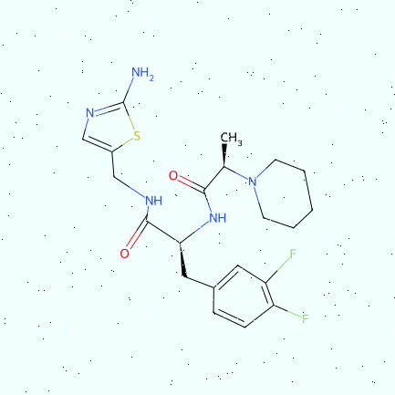 C[C@H](C(=O)N[C@@H](Cc1ccc(F)c(F)c1)C(=O)NCc1cnc(N)s1)N1CCCCC1